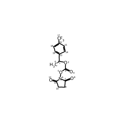 CC(OC(=O)ON1C(=O)CCC1=O)c1ccc(C(F)(F)F)cc1